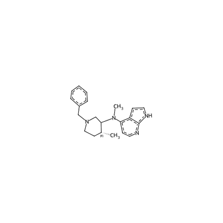 C[C@@H]1CCN(Cc2ccccc2)CC1N(C)c1ccnc2[nH]ccc12